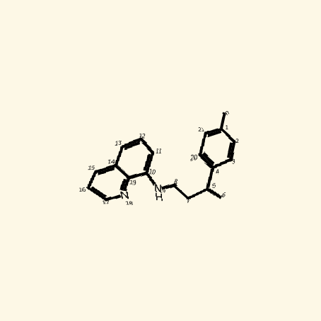 Cc1ccc(C(C)CCNc2cccc3cccnc23)cc1